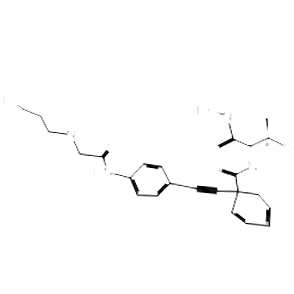 C[C@@H](O)[C@H](NC(=O)C1(C#Cc2ccc(NC(=O)CNCCCO)cc2)C=CC=CC1)C(=O)NO